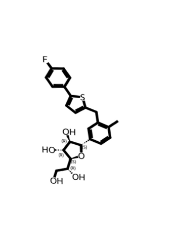 Cc1ccc([C@@H]2O[C@@H]([C@H](O)CO)[C@H](O)[C@H]2O)cc1Cc1ccc(-c2ccc(F)cc2)s1